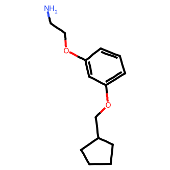 NCCOc1cccc(OCC2CCCC2)c1